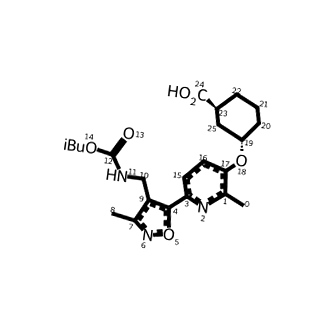 Cc1nc(-c2onc(C)c2CNC(=O)OCC(C)C)ccc1O[C@H]1CCC[C@H](C(=O)O)C1